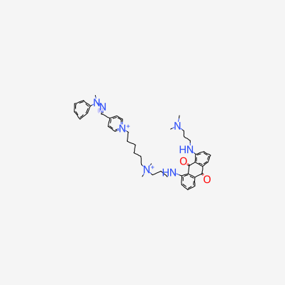 CN(C)CCCNc1cccc2c1C(=O)c1c(NCCC[N+](C)(C)CCCCCC[n+]3ccc(/C=N/N(C)c4ccccc4)cc3)cccc1C2=O